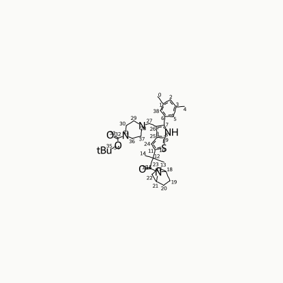 Cc1cc(C)cc(-c2[nH]c3sc(C(C)(C)C(=O)N4C5CCC4CC5)cc3c2CN2CCN(C(=O)OC(C)(C)C)CC2)c1